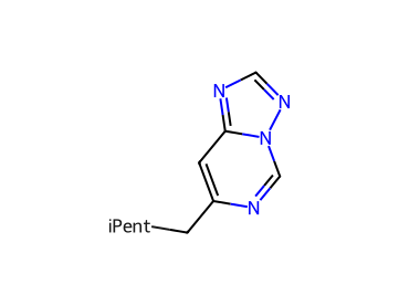 CCCC(C)Cc1cc2ncnn2cn1